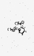 O=C(Cl)c1ccccc1[Se]OCl